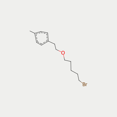 Cc1ccc(CCOCCCCCBr)cc1